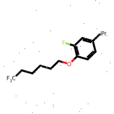 CC(C)c1ccc(OCCCCCC(F)(F)F)c(F)c1